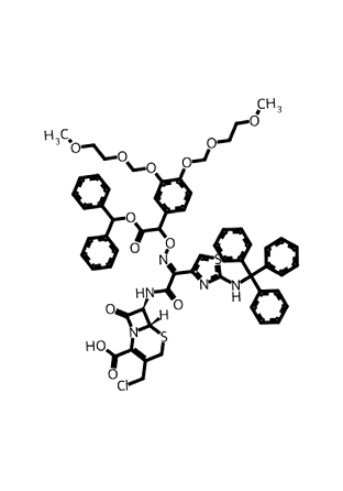 COCCOCOc1ccc(C(ON=C(C(=O)N[C@@H]2C(=O)N3C(C(=O)O)=C(CCl)CS[C@@H]23)c2csc(NC(c3ccccc3)(c3ccccc3)c3ccccc3)n2)C(=O)OC(c2ccccc2)c2ccccc2)cc1OCOCCOC